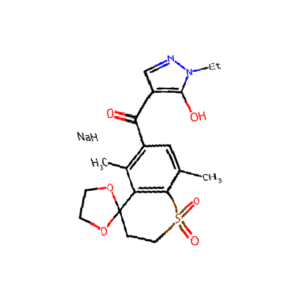 CCn1ncc(C(=O)c2cc(C)c3c(c2C)C2(CCS3(=O)=O)OCCO2)c1O.[NaH]